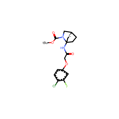 CC(C)(C)OC(=O)N1CC2CCC1(NC(=O)COc1ccc(Cl)c(F)c1)CC2